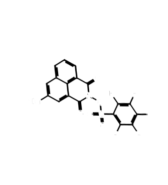 CCCCc1cc2c3c(cccc3c1)C(=O)N(OS(=O)(=O)c1c(F)c(F)c(F)c(F)c1F)C2=O